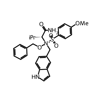 COc1ccc(S(=O)(=O)[N+](Cc2ccc3[nH]ccc3c2)(OCc2ccccc2)[C@@H](C(N)=O)C(C)C)cc1